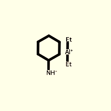 C[CH2][Al+][CH2]C.[NH-]C1CCCCC1